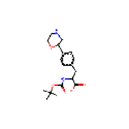 CC(C)(C)OC(=O)NC(Cc1ccc(C2CNCCO2)cc1)C(=O)O